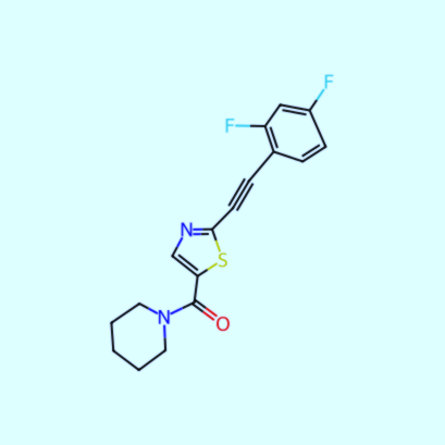 O=C(c1cnc(C#Cc2ccc(F)cc2F)s1)N1CCCCC1